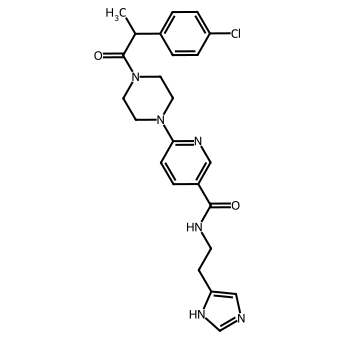 CC(C(=O)N1CCN(c2ccc(C(=O)NCCc3cnc[nH]3)cn2)CC1)c1ccc(Cl)cc1